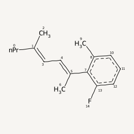 CCC/C(C)=C/C=C(\C)c1c(C)cccc1F